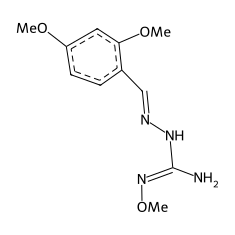 CON=C(N)NN=Cc1ccc(OC)cc1OC